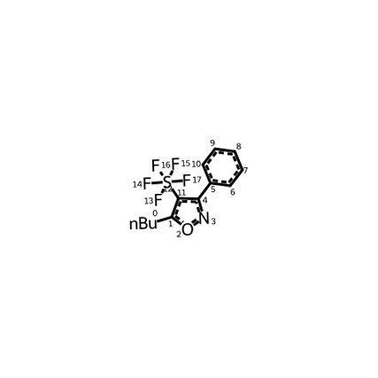 CCCCc1onc(-c2ccccc2)c1S(F)(F)(F)(F)F